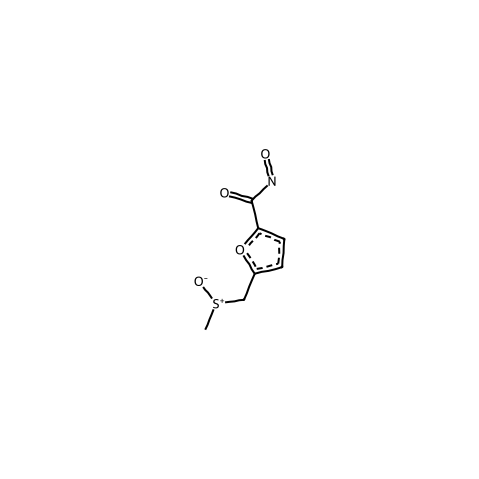 C[S+]([O-])Cc1ccc(C(=O)N=O)o1